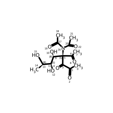 CC(=O)C(=O)[C@@](C(C)=O)([C@@H](O)[C@@H](O)[C@@H](C)O)N(C(C)=O)C(C)=O